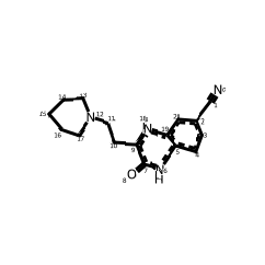 N#Cc1ccc2[nH]c(=O)c(CCN3CC[CH]CC3)nc2c1